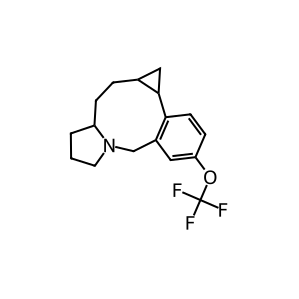 FC(F)(F)Oc1ccc2c(c1)CN1CCCC1CCC1CC21